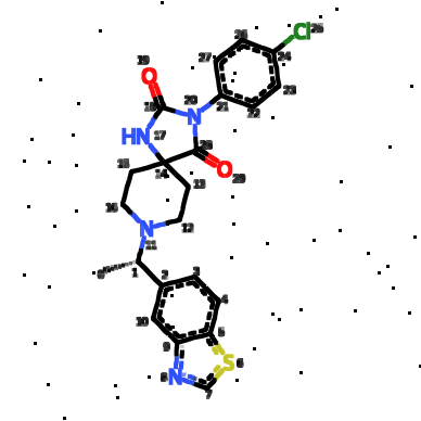 C[C@@H](c1ccc2scnc2c1)N1CCC2(CC1)NC(=O)N(c1ccc(Cl)cc1)C2=O